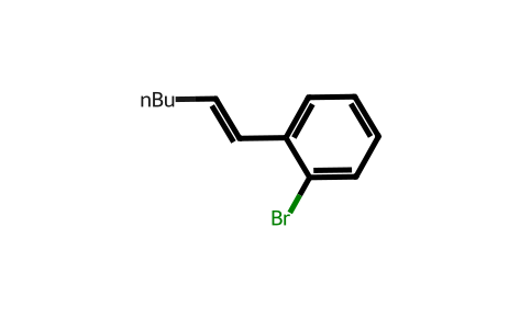 [CH2]CCC/C=C/c1ccccc1Br